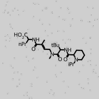 CCCC(NC(=O)/C(C)=C/CN(C)C(=O)C(NC(=O)C1CCCCN1C(C)C)C(C)(C)C)C(=O)O